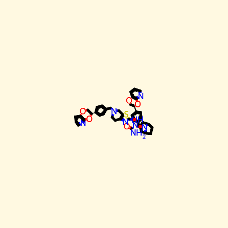 NC(=O)N(Nc1nc2c(s1)CN(Cc1ccc([C@H]3COc4cccnc4O3)cc1)CC2)C1CC2CCC(C1)N2Cc1ccc([C@H]2COc3cccnc3O2)cc1